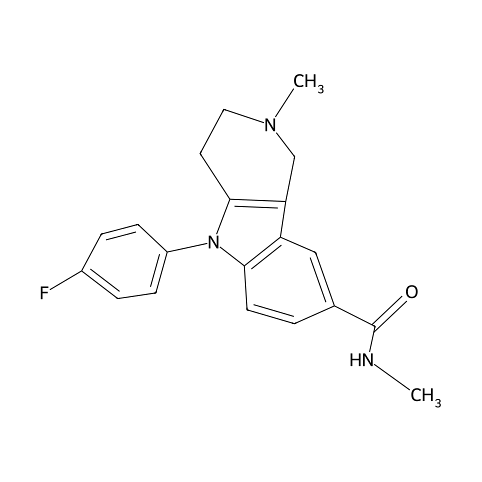 CNC(=O)c1ccc2c(c1)c1c(n2-c2ccc(F)cc2)CCN(C)C1